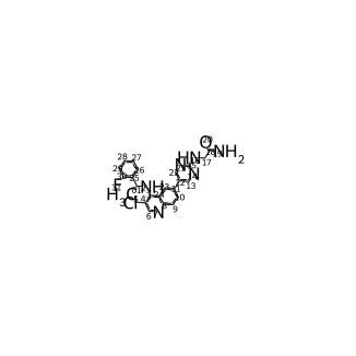 CC(Nc1c(Cl)cnc2ccc(-c3cnc(NCC(N)=O)nc3)cc12)c1ccccc1F